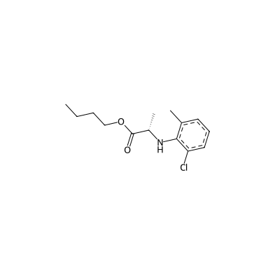 CCCCOC(=O)[C@H](C)Nc1c(C)cccc1Cl